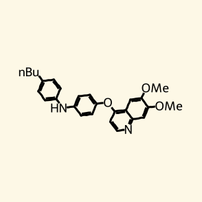 CCCCc1ccc(Nc2ccc(Oc3ccnc4cc(OC)c(OC)cc34)cc2)cc1